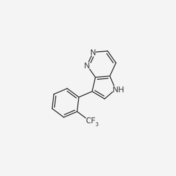 FC(F)(F)c1ccccc1-c1c[nH]c2ccnnc12